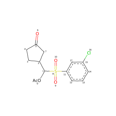 CC(=O)OC(C1CCC(=O)C1)S(=O)(=O)c1cccc(Cl)c1